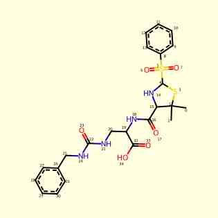 CC1(C)SC(S(=O)(=O)c2ccccc2)NC1C(=O)NC(CNC(=O)NCc1ccccc1)C(=O)O